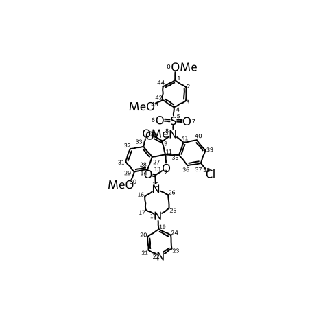 COc1ccc(S(=O)(=O)N2C(=O)C(OC(=O)N3CCN(c4ccncc4)CC3)(c3cc(OC)ccc3OC)c3cc(Cl)ccc32)c(OC)c1